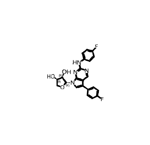 O[C@@H]1[C@H](O)CO[C@H]1n1cc(-c2ccc(F)cc2)c2cnc(Nc3ccc(F)cc3)nc21